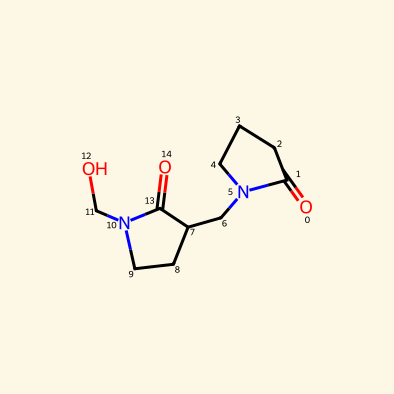 O=C1CCCN1CC1CCN(CO)C1=O